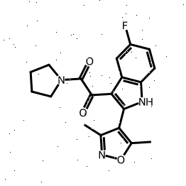 Cc1noc(C)c1-c1[nH]c2ccc(F)cc2c1C(=O)C(=O)N1CCCC1